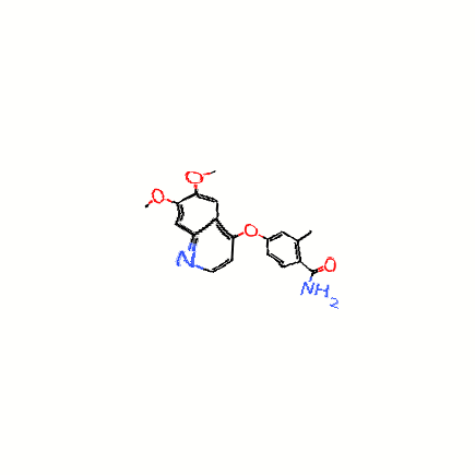 COc1cc2nccc(Oc3ccc(C(N)=O)c(C)c3)c2cc1OC